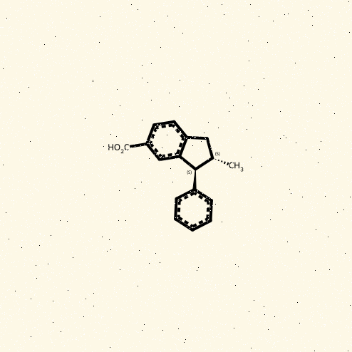 C[C@H]1Cc2ccc(C(=O)O)cc2[C@@H]1c1ccccc1